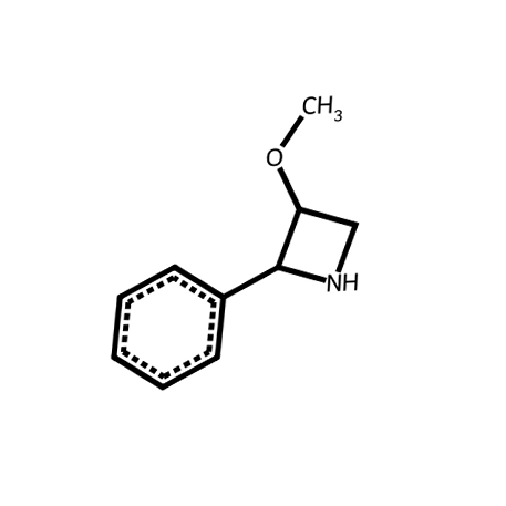 COC1CNC1c1ccccc1